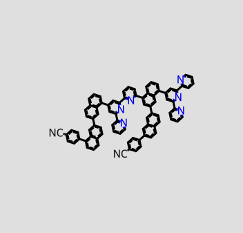 N#Cc1ccc(-c2ccc3ccc(-c4cc(-c5cccc(-c6cc(-c7cccc8ccc(-c9ccc%10cccc(-c%11ccc(C#N)cc%11)c%10c9)cc78)cc(-c7ccccn7)n6)n5)c5cccc(-c6cc(-c7ccccn7)nc(-c7ccccn7)c6)c5c4)cc3c2)cc1